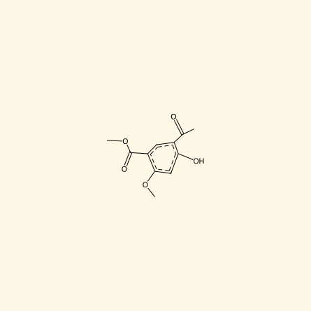 COC(=O)c1cc(C(C)=O)c(O)cc1OC